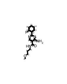 COCCCNC(=O)c1cnc(-c2ccccc2F)nc1N